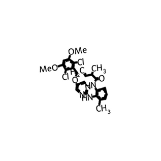 C=CC(C)C(=O)Nc1cccc(C)c1Nc1ncc(OCc2c(Cl)c(OC)cc(OC)c2Cl)cn1